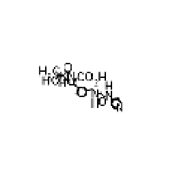 C[C@@H](O)[C@H]1C(=O)N2C(C(=O)O)=C(c3cccc(CNCC(=O)Nc4ccncc4)c3)C[C@H]12